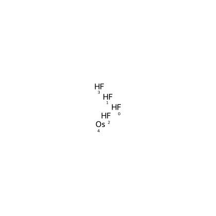 F.F.F.F.[Os]